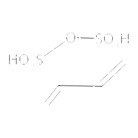 C=CC=C.O=S(=O)(O)OS(=O)(=O)O